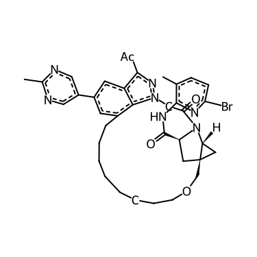 CC(=O)c1nn2c3c(cc(-c4cnc(C)nc4)cc13)CCCCCCCCOC[C@@]13C[C@@H](C(=O)Nc4nc(Br)ccc4C)N(C(=O)C2)[C@@H]1C3